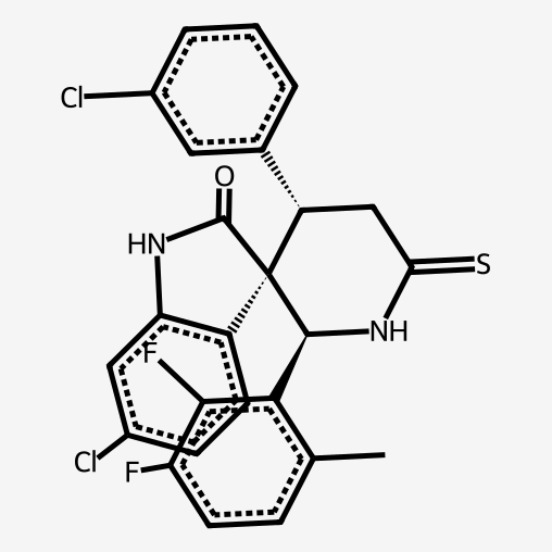 Cc1ccc(F)c(F)c1[C@@H]1NC(=S)C[C@@H](c2cccc(Cl)c2)[C@]12C(=O)Nc1cc(Cl)ccc12